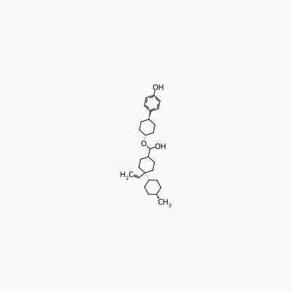 C=CC1([C@H]2CC[C@H](C)CC2)CCC(C(O)O[C@H]2CC[C@H](c3ccc(O)cc3)CC2)CC1